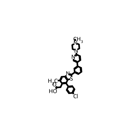 Cc1cc2nc(-c3cccc(-c4ccc(N5CCN(C)CC5)nc4)c3)sc2c(-c2ccc(Cl)cc2)c1CC(=O)O